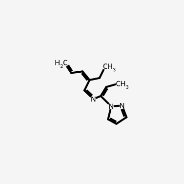 C=C\C=C(/C=N\C(=C\C)n1cccn1)CC